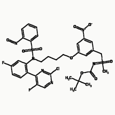 CC(C)(C)OC(=O)N=S(C)(=O)Cc1cc(OCCCCN(c2cc(F)ccc2-c2nc(Cl)ncc2F)S(=O)(=O)c2ccccc2N=O)cc([N+](=O)[O-])c1